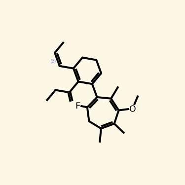 C=C(CC)C1=C(/C=C\C)CCC=C1C1=C(F)CC(C)=C(C)C(OC)=C1C